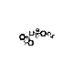 O=S(=O)(NCCN1c2ccccc2Sc2ccccc21)c1ccc(OCF)cc1